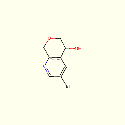 CCc1cnc2c(c1)C(O)COC2